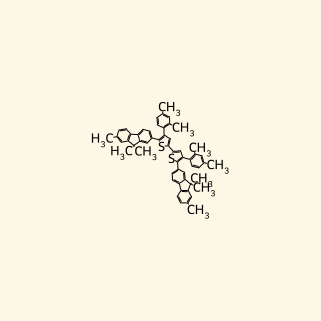 Cc1ccc(-c2cc(-c3cc(-c4ccc(C)cc4C)c(-c4ccc5c(c4)C(C)(C)c4cc(C)ccc4-5)s3)sc2-c2ccc3c(c2)C(C)(C)c2cc(C)ccc2-3)c(C)c1